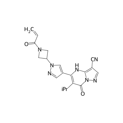 C=CC(=O)N1CC(n2cc(-c3[nH]c4c(C#N)cnn4c(=O)c3C(C)C)cn2)C1